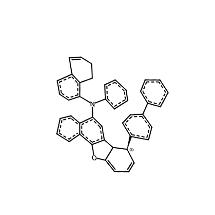 C1=C[C@H](c2ccc(-c3ccccc3)cc2)C2C(=C1)Oc1c2cc(N(c2ccccc2)c2cccc3c2CCC=C3)c2ccccc12